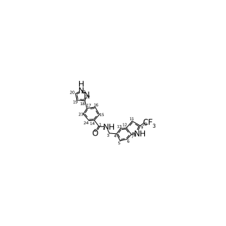 O=C(NCc1ccc2[nH]c(C(F)(F)F)cc2c1)c1ccc(-c2cc[nH]n2)cc1